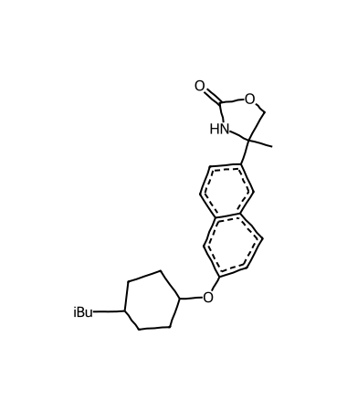 CCC(C)C1CCC(Oc2ccc3cc(C4(C)COC(=O)N4)ccc3c2)CC1